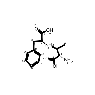 CC(C)[C@H](N)C(=O)O.N[C@@H](Cc1ccccc1)C(=O)O